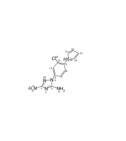 Nc1nc(N)n(-c2ccc([SH]3C=CC=C3)c(Cl)c2)n1